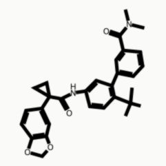 CN(C)C(=O)c1cccc(-c2cc(NC(=O)C3(c4ccc5c(c4)OCO5)CC3)ccc2C(C)(C)C)c1